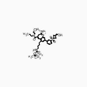 CCCN(CCC)C(=O)C1=Cc2c(CCCCNC(=O)OC(C)(C)C)cc(-c3cccc(S(=O)(=O)N4CC(CO)C4)c3)cc2N=C(N)C1